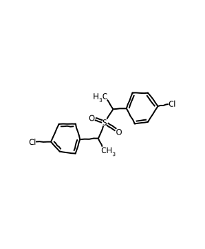 CC(c1ccc(Cl)cc1)S(=O)(=O)C(C)c1ccc(Cl)cc1